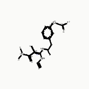 C=CN/C(NC(C)Cc1cccc(OC(F)F)c1)=C(/C)C(=C)N(C)C